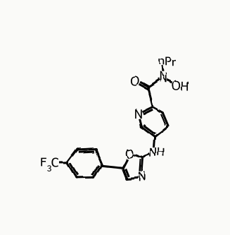 CCCN(O)C(=O)c1ccc(Nc2ncc(-c3ccc(C(F)(F)F)cc3)o2)cn1